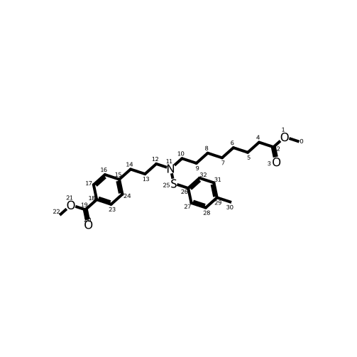 COC(=O)CCCCCCCN(CCCc1ccc(C(=O)OC)cc1)Sc1ccc(C)cc1